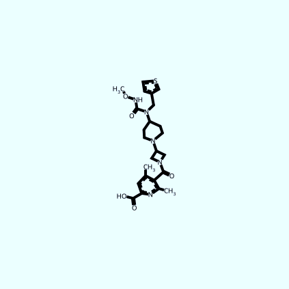 CONC(=O)N(Cc1ccsc1)C1CCN(C2CN(C(=O)c3c(C)cc(C(=O)O)nc3C)C2)CC1